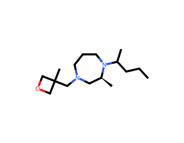 CCCC(C)N1CCCN(CC2(C)COC2)C[C@@H]1C